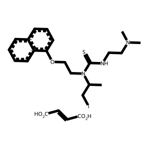 CC(CI)N(CCOc1cccc2ccccc12)C(=S)NCCN(C)C.O=C(O)C=CC(=O)O